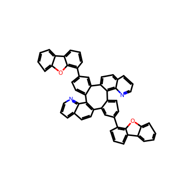 c1cnc2c3c(ccc2c1)-c1cc(-c2cccc4c2oc2ccccc24)ccc1-c1c(ccc2cccnc12)-c1cc(-c2cccc4c2oc2ccccc24)ccc1-3